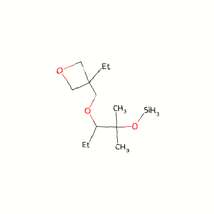 CCC(OCC1(CC)COC1)C(C)(C)O[SiH3]